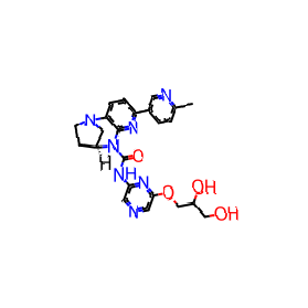 Cc1ccc(-c2ccc3c(n2)N(C(=O)Nc2cncc(OCC(O)CO)n2)[C@H]2CCN3C2)cn1